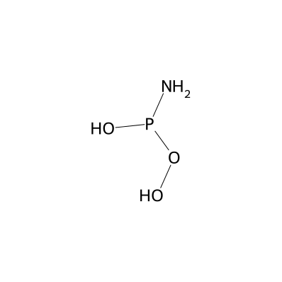 NP(O)OO